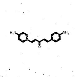 Nc1ccc(C=CC(=O)C=Cc2ccc(N)cc2)cc1